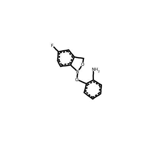 Nc1ccccc1OB1OCc2cc(F)ccc21